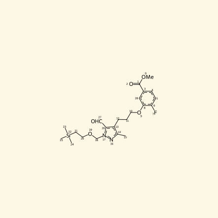 COC(=O)c1ccc(F)c(OCCCc2c(C)nn(COCC[Si](C)(C)C)c2C=O)c1